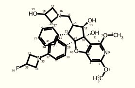 COc1cc2c(c(OC)n1)[C@]1(O)[C@H](O)[C@H](CN3CC(O)C3)[C@@H](c3ccccc3)[C@]1(c1ccc(N3CC(F)C3)cc1)O2